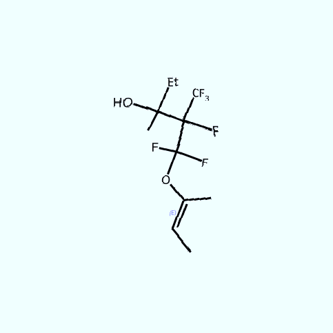 C/C=C(\C)OC(F)(F)C(F)(C(F)(F)F)C(C)(O)CC